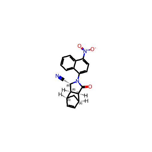 N#C[C@H]1[C@H]2[C@@H](C(=O)N1c1ccc([N+](=O)[O-])c3ccccc13)[C@H]1C=C[C@@H]2C1